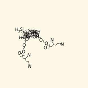 CC(C)(CC(C#N)CCC#N)C(=O)OCCOCCO[Si](O)(O)OC(C)([SiH3])[C@](O)([SiH3])C([SiH3])(C[C@](C)(O)[SiH3])O[Si](O)(O)OCCOCCOC(=O)C(C)(C)CC(C#N)CCC#N